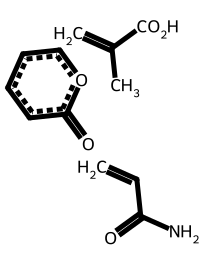 C=C(C)C(=O)O.C=CC(N)=O.O=c1cccco1